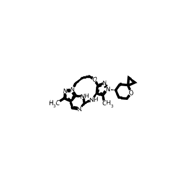 Cc1nn2c3c1C=NC(Nc1c(nn([C@H]4CCOC5(CC5)C4)c1C)OCCC2)N3